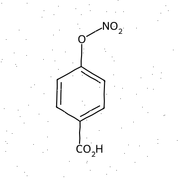 O=C(O)c1ccc(O[N+](=O)[O-])cc1